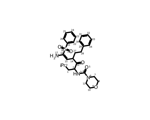 CC(C)CC(NC(=O)N1CCOCC1)C(=O)C(C=C(N)S(=O)(=O)c1ccccc1)CCc1ccccc1